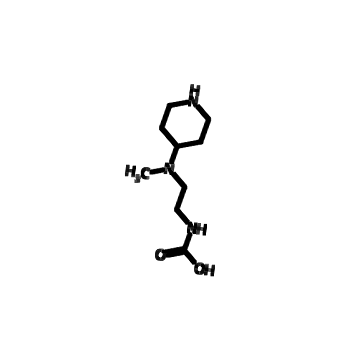 CN(CCNC(=O)O)C1CCNCC1